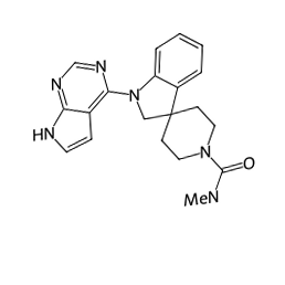 CNC(=O)N1CCC2(CC1)CN(c1ncnc3[nH]ccc13)c1ccccc12